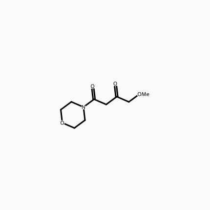 COCC(=O)CC(=O)N1CCOCC1